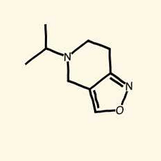 CC(C)N1CCc2nocc2C1